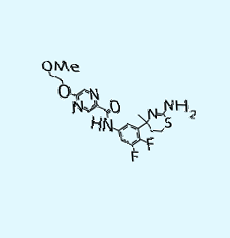 COCCOc1cnc(C(=O)Nc2cc(F)c(F)c(C3(C)CCSC(N)=N3)c2)cn1